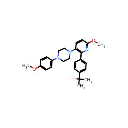 BC(C)(C)c1ccc(-c2nc(OC)ccc2N2CCN(c3ccc(OC)cc3)CC2)cc1